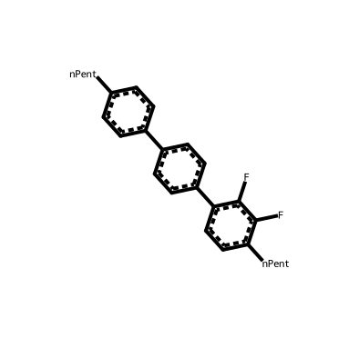 CCCCCc1ccc(-c2ccc(-c3ccc(CCCCC)c(F)c3F)cc2)cc1